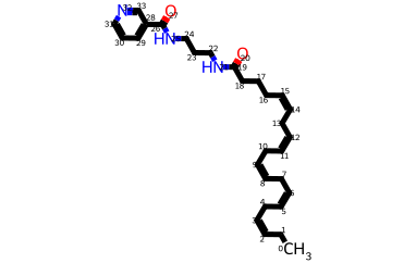 CC/C=C\C/C=C\C/C=C\C/C=C\C/C=C\CCCC(=O)NCCCNC(=O)c1cccnc1